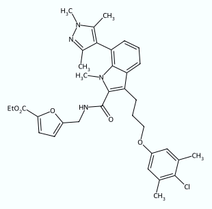 CCOC(=O)c1ccc(CNC(=O)c2c(CCCOc3cc(C)c(Cl)c(C)c3)c3cccc(-c4c(C)nn(C)c4C)c3n2C)o1